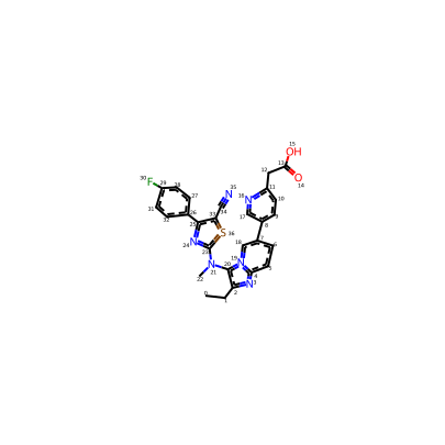 CCc1nc2ccc(-c3ccc(CC(=O)O)nc3)cn2c1N(C)c1nc(-c2ccc(F)cc2)c(C#N)s1